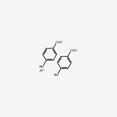 CC(C)(C)c1ccc(C(=O)[O-])cc1.CC(C)(C)c1ccc(C(=O)[O-])cc1.[Al+2]